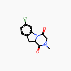 CN1CC(=O)N2c3cc(Cl)ccc3CC2C1=O